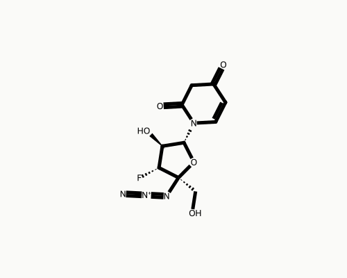 [N-]=[N+]=N[C@]1(CO)O[C@@H](N2C=CC(=O)CC2=O)[C@H](O)[C@H]1F